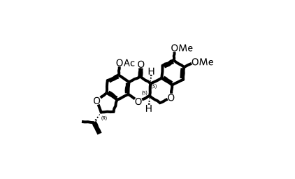 C=C(C)[C@H]1Cc2c(cc(OC(C)=O)c3c2O[C@@H]2COc4cc(OC)c(OC)cc4[C@@H]2C3=O)O1